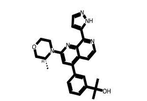 C[C@@H]1COCCN1c1cc(-c2cccc(C(C)(C)O)c2)c2ccnc(-c3ccn[nH]3)c2n1